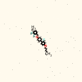 C=CCCCOc1ccc(C2CCC(OCc3ccc(C)c(F)c3F)CC2)c(F)c1